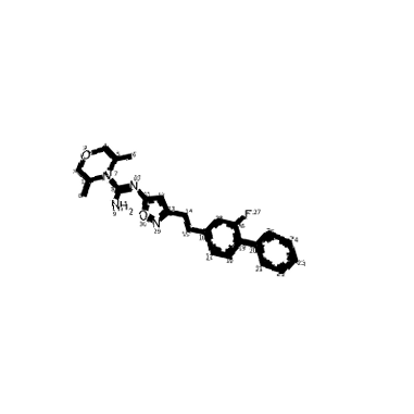 CC1COCC(C)N1C(N)=Nc1cc(CCc2ccc(-c3ccccc3)c(F)c2)no1